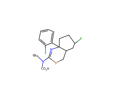 CC(C)(C)N(C(=O)O)C1=NC2(c3ccccc3F)CCC(F)CC2CS1